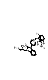 CC1(C)[C@H]2CC[C@H](C2)[C@H]1CN1CCC(n2c(=O)n(C[C@@H](O)CO)c3ccccc32)CC1